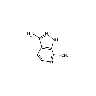 Cc1nccc2c(N)n[nH]c12